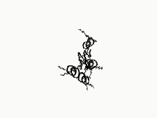 CCCCCCC(CCCC)COC(=O)CCCCCN(CCCCCC(=O)OCC(CCCC)CCCCCC)CCCN(C)CCCN(CCCCCC(=O)OCC(CCCC)CCCCCC)CCCCCC(=O)OCC(CCCC)CCCCCC